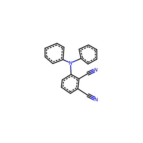 N#Cc1cccc(N(c2ccccc2)c2ccccc2)c1C#N